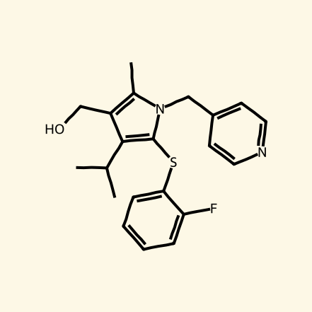 Cc1c(CO)c(C(C)C)c(Sc2ccccc2F)n1Cc1ccncc1